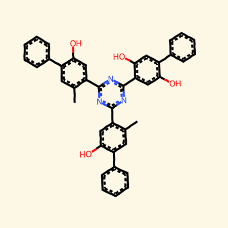 Cc1cc(-c2ccccc2)c(O)cc1-c1nc(-c2cc(O)c(-c3ccccc3)cc2C)nc(-c2cc(O)c(-c3ccccc3)cc2O)n1